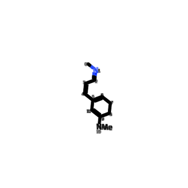 C/N=C\C=C/C1=CCCC(NC)=C1